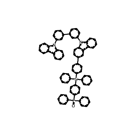 O=P(c1ccccc1)(c1ccccc1)c1ccc([Si](c2ccccc2)(c2ccccc2)c2ccc(-c3ccc4c(c3)c3ccccc3n4-c3cccc(-c4cccc(-n5c6ccccc6c6ccccc65)c4)c3)cc2)cc1